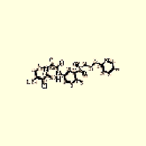 Cc1ccc(NC(=O)[C@H](C)n2ncc(Cl)c(Cl)c2=O)cc1S(=O)(=O)CCCc1ccccn1